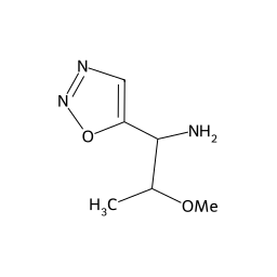 COC(C)C(N)c1cnno1